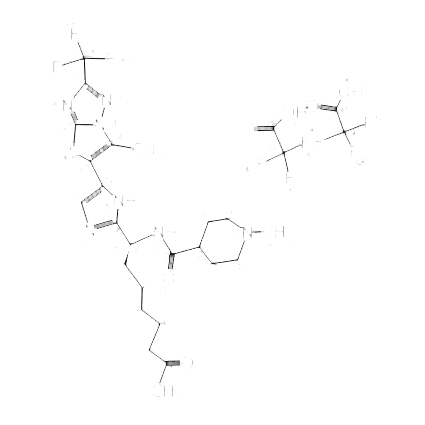 CC(=O)CCCCC[C@H](NC(=O)C1CCN(C)CC1)c1ncc(-c2sc3nc(C(F)(F)F)nn3c2C)[nH]1.O=C(O)C(F)(F)F.O=C(O)C(F)(F)F